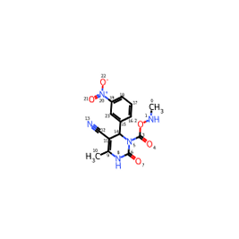 CNOC(=O)N1C(=O)NC(C)=C(C#N)C1c1cccc([N+](=O)[O-])c1